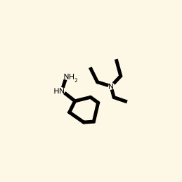 CCN(CC)CC.NNC1CCCCC1